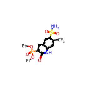 CCOP(=O)(OCC)c1cc2cc(S(N)(=O)=O)c(C(F)(F)F)cc2[nH]c1=O